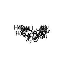 CC(=O)N1CC[C@H]2CC[C@@H](C(=O)N[C@@H](CCC(N)=O)COc3cccc(CCCCC(=O)N[C@H](C(=O)N4C[C@H](O)C[C@H]4C(=O)N[C@@H](C)c4ccc(-c5scnc5C)cc4)C(C)(C)C)c3Cl)N2C(=O)[C@@H](NC(=O)OC(C)(C)C)C1